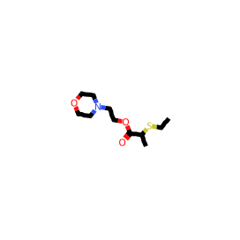 CCSC(C)C(=O)OCCN1CCOCC1